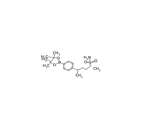 CC(CC[C@@H](C)S(N)(=O)=O)c1ccc(B2OC(C)(C)C(C)(C)O2)cc1